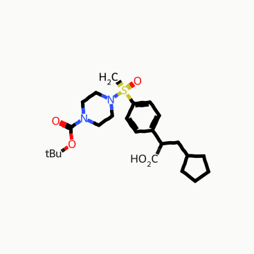 C=S(=O)(c1ccc(C(CC2CCCC2)C(=O)O)cc1)N1CCN(C(=O)OC(C)(C)C)CC1